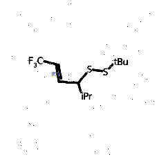 CC(C)C(/C=C/C(F)(F)F)SSC(C)(C)C